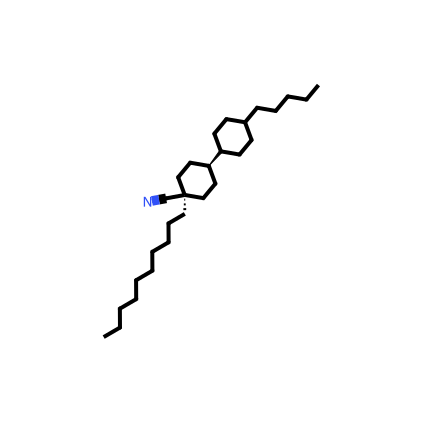 CCCCCCCCCC[C@]1(C#N)CC[C@@H](C2CCC(CCCCC)CC2)CC1